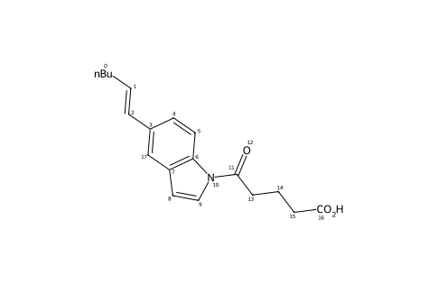 CCCC/C=C/c1ccc2c(ccn2C(=O)CCCC(=O)O)c1